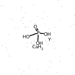 O=P(O)(O)O.[CaH2].[Y]